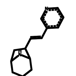 C(=CC1CC2CCCC1N2)c1cccnc1